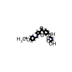 CCOc1ccc(/C=C2\CCc3c2oc2cc(NC(=O)/C=C\C(=O)O)ccc2c3=O)cc1